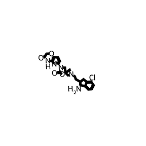 NC1c2cccc(Cl)c2CC1CCN1CC2(C1)CN(c1ccc3c(n1)NC(=O)CO3)C(=O)O2